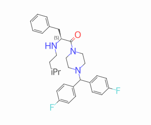 CC(C)CCN[C@@H](Cc1ccccc1)C(=O)N1CCN(C(c2ccc(F)cc2)c2ccc(F)cc2)CC1